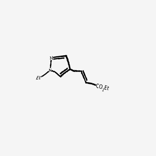 CCOC(=O)C=Cc1cnn(CC)c1